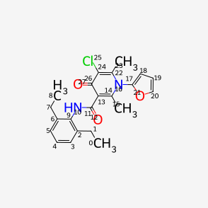 CCc1cccc(CC)c1NC(=O)c1c(C)n(-c2ccco2)c(C)c(Cl)c1=O